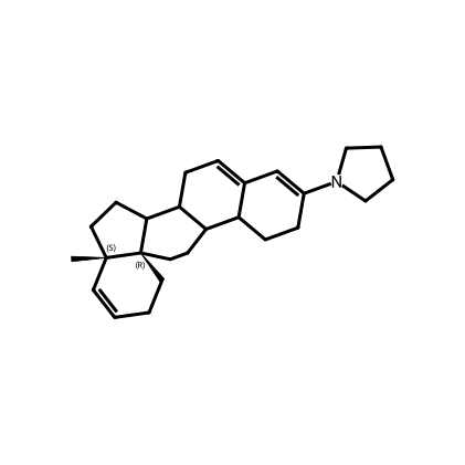 C[C@]12C=CCC[C@@]13CCC1C4CCC(N5CCCC5)=CC4=CCC1C3CC2